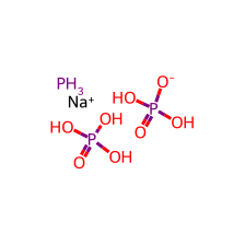 O=P(O)(O)O.O=P([O-])(O)O.P.[Na+]